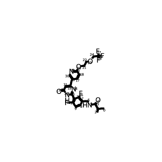 CC(C)C(=O)NCc1ccc(F)c(-c2nc(-c3ccc(OCCOCC(F)(F)F)nc3)cc(=O)[nH]2)c1F